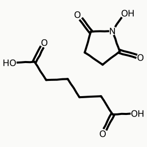 O=C(O)CCCCC(=O)O.O=C1CCC(=O)N1O